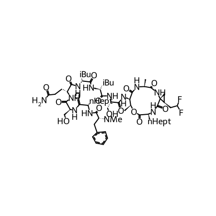 CCCCCCC[C@H](NC(=O)[C@@H](Cc1ccccc1)NC)C(=O)N[C@@H](CO)C(=O)N[C@H](CCC(N)=O)C(=O)N[C@@H](C(=O)N[C@H](C(=O)N[C@@H](CO)C(=O)N[C@H]1C(=O)N[C@@H](C)C(=O)N[C@@]2(C[C@H]2CC(F)F)C(=O)N[C@@H](CCCCCCC)C(=O)O[C@H]1C)[C@@H](C)CC)[C@@H](C)CC